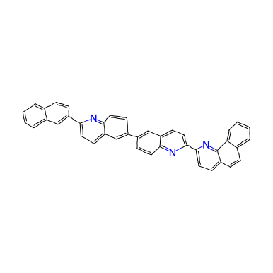 c1ccc2cc(-c3ccc4cc(-c5ccc6nc(-c7ccc8ccc9ccccc9c8n7)ccc6c5)ccc4n3)ccc2c1